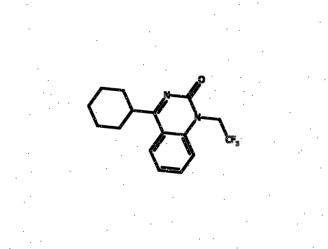 O=c1nc(C2CCCCC2)c2ccccc2n1CC(F)(F)F